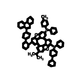 Cc1ccc(N(c2ccccc2)c2cc3oc4cc(-c5ccccc5-c5ccc(-c6cc7ccccc7c7ccccc67)cc5)cc5c6cc(C(C)C)cc7oc8c(N(c9ccccc9)c9ccc(-c%10ccccc%10)cc9)ccc(c(c2)c3c45)c8c76)cc1